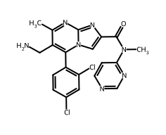 Cc1nc2nc(C(=O)N(C)c3ccncn3)cn2c(-c2ccc(Cl)cc2Cl)c1CN